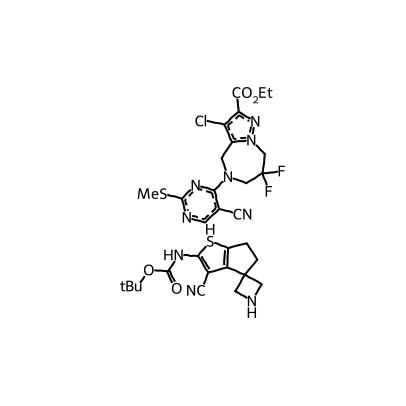 CCOC(=O)c1nn2c(c1Cl)CN(c1nc(SC)nc([SH]3C4=C(C(C#N)=C3NC(=O)OC(C)(C)C)C3(CC4)CNC3)c1C#N)CC(F)(F)C2